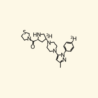 [2H]c1ccc(-n2nc(C)cc2N2CCN([C@]3([2H])CN[C@H](C(=O)N4CCSC4)C3)CC2)cc1